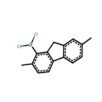 Cc1ccc2c(c1)Cc1c-2ccc(C)[c]1[Zr]([Cl])[Cl]